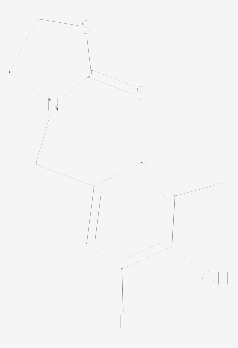 Oc1c(F)cc(CN2CCSC2=S)cc1F